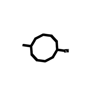 CC1CCCCC(C#N)CCCC1